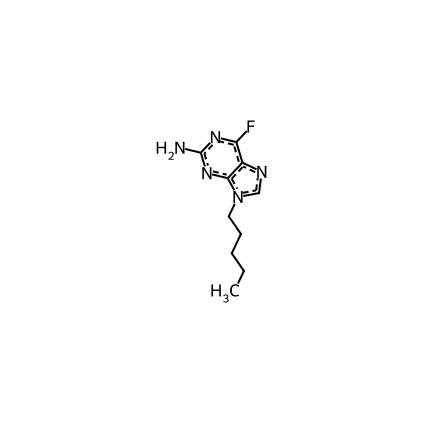 CCCCCn1cnc2c(F)nc(N)nc21